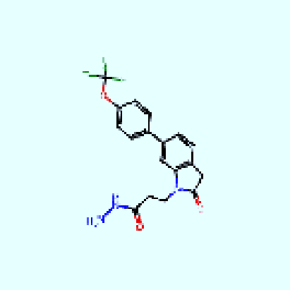 NNC(=O)CCN1C(=O)Cc2ccc(-c3ccc(OC(F)(F)F)cc3)cc21